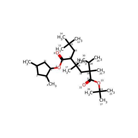 CC1CC(C)C(OC(=O)C(CC(C)(C)C)C(C)(C)CC(C)(C(=O)OC(C)(C)C)C(C)C)C1